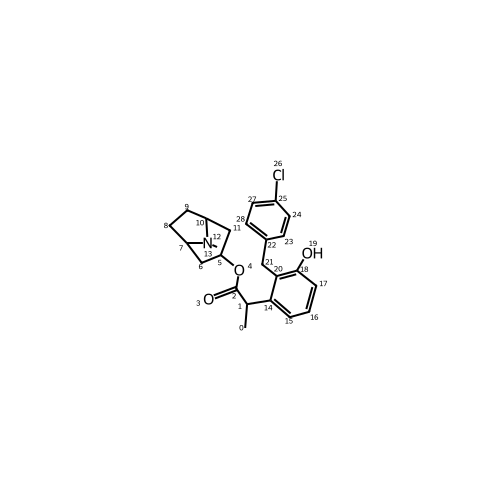 CC(C(=O)OC1CC2CCC(C1)N2C)c1cccc(O)c1Cc1ccc(Cl)cc1